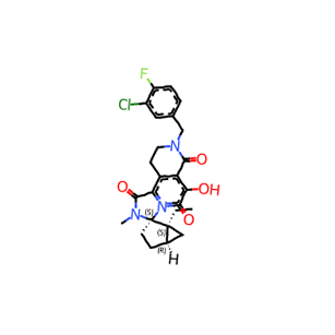 CC[C@]12C[C@H]1CC[C@@]21N(C)C(=O)c2c3c(c(O)c(=O)n21)C(=O)N(Cc1ccc(F)c(Cl)c1)CC3